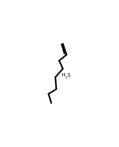 C=CCCCCCC.S